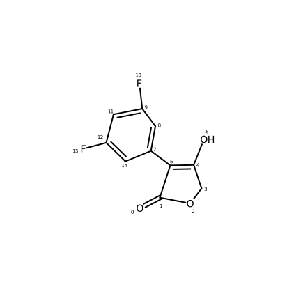 O=C1OCC(O)=C1c1cc(F)cc(F)c1